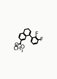 COC(=O)c1ccc2c(c1)C(c1cccc(F)c1F)=CCC2